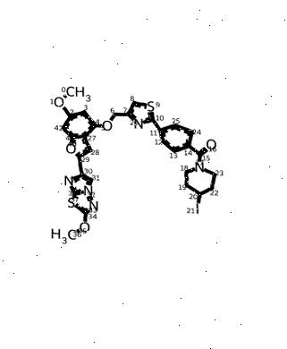 COc1cc(OCc2csc(-c3ccc(C(=O)N4CCC(I)CC4)cc3)n2)c2cc(-c3cn4nc(OC)sc4n3)oc2c1